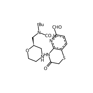 CC(C)(C)N(C[C@H]1CNCCO1)C(=O)O.O=Cc1ccc2c(n1)NC(=O)CS2